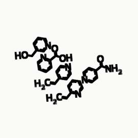 C=Cc1ccccn1.C=Cc1ccncc1.NC(=O)c1ccncc1.O=C(O)c1ccccn1.OCc1cccnc1